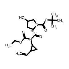 C=CC1CC1N(C(=O)OCC)C(=O)[C@@H]1CC(O)CN1C(=O)OC(C)(C)C